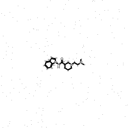 CN(C)CCN1CCCC(C(=O)Nn2ccc3ccccc32)C1